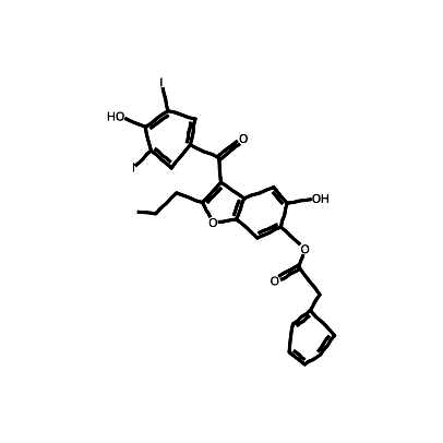 CCCc1oc2cc(OC(=O)Cc3ccccc3)c(O)cc2c1C(=O)c1cc(I)c(O)c(I)c1